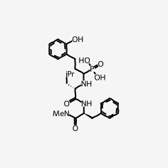 CNC(=O)[C@H](Cc1ccccc1)NC(=O)[C@H](CC(C)C)NC(CCc1ccccc1O)P(=O)(O)O